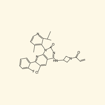 C=CC(=O)N1CC(Nc2nc(=O)n(-c3c(C)ccnc3C(C)C)c3nc(-c4ccccc4F)c(Cl)cc23)C1